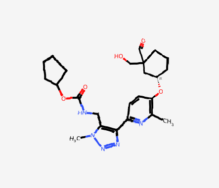 Cc1nc(-c2nnn(C)c2CNC(=O)OC2CCCC2)ccc1O[C@H]1CCCC(C=O)(CO)C1